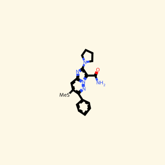 CSc1cc2nc(N3CCCC3)c(C(N)=O)n2nc1-c1ccccc1